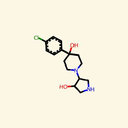 OC1CNCC1N1CCC(O)(c2ccc(Cl)cc2)CC1